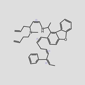 C=CCCN(C)C(/C=C\NC(C)c1c(/C=C\C/C=C\C(=C/C)c2ccccc2)ccc2oc3ccccc3c12)CC=C